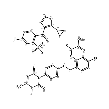 CCc1ccc(COc2ccc(-n3c(=O)cc(C(F)(F)F)n(C)c3=O)cc2)c(OC(C)C(=O)OC)c1.CS(=O)(=O)c1cc(C(F)(F)F)ccc1C(=O)c1cnoc1C1CC1